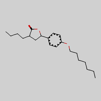 CCCCCCCOc1ccc(C2CC(CCCC)C(=O)O2)cc1